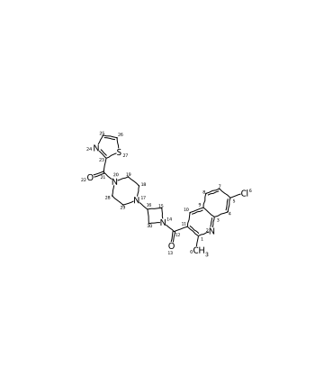 Cc1nc2cc(Cl)ccc2cc1C(=O)N1CC(N2CCN(C(=O)c3nccs3)CC2)C1